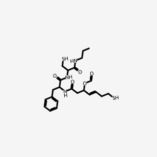 CCCNC(=O)C(CS)NC(=O)C(Cc1ccccc1)NC(=O)CC(/C=C/CCS)OC=O